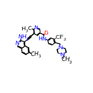 Cc1ccc2cnc(N)c(C#Cc3cc(C(=O)Nc4ccc(CN5CCN(C)CC5)c(C(F)(F)F)c4)cnc3C)c2c1